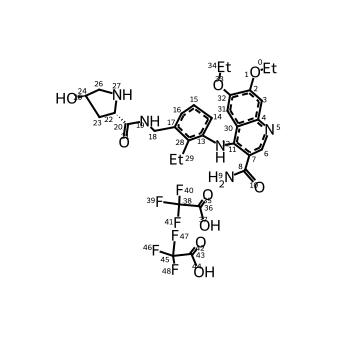 CCOc1cc2ncc(C(N)=O)c(Nc3cccc(CNC(=O)[C@@H]4C[C@@H](O)CN4)c3CC)c2cc1OCC.O=C(O)C(F)(F)F.O=C(O)C(F)(F)F